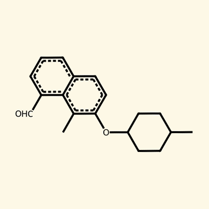 Cc1c(OC2CCC(C)CC2)ccc2cccc(C=O)c12